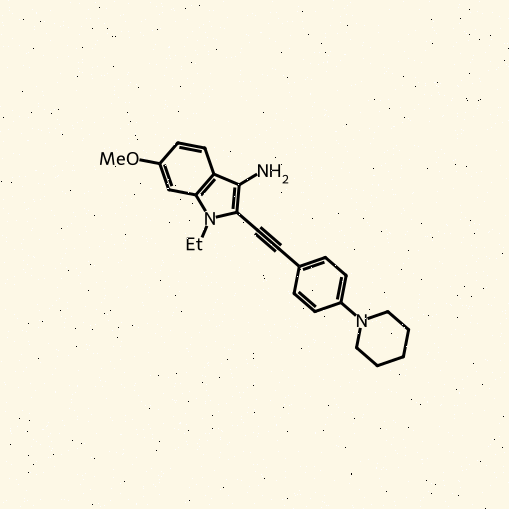 CCn1c(C#Cc2ccc(N3CCCCC3)cc2)c(N)c2ccc(OC)cc21